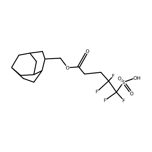 O=C(CCC(F)(F)C(F)(F)S(=O)(=O)O)OCC1CC2CC3CCC1C(C3)C2